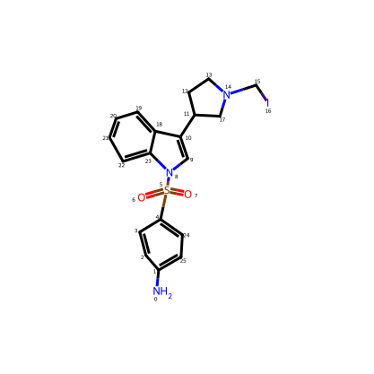 Nc1ccc(S(=O)(=O)n2cc(C3CCN(CI)C3)c3ccccc32)cc1